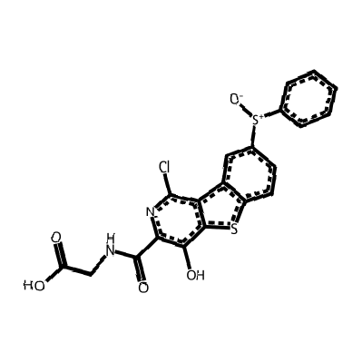 O=C(O)CNC(=O)c1nc(Cl)c2c(sc3ccc([S+]([O-])c4ccccc4)cc32)c1O